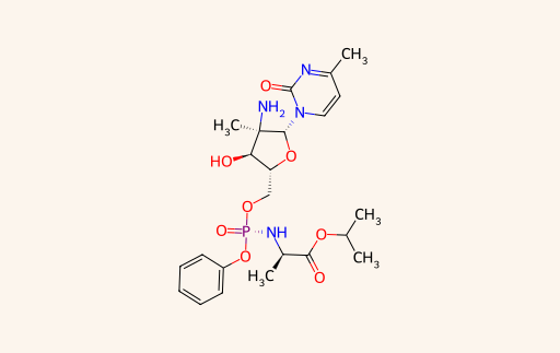 Cc1ccn([C@@H]2O[C@H](CO[P@@](=O)(N[C@H](C)C(=O)OC(C)C)Oc3ccccc3)[C@@H](O)[C@@]2(C)N)c(=O)n1